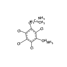 C=C.N.N.Oc1c(Cl)c(Cl)c(Cl)c(Cl)c1Cl